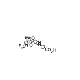 COc1cc2nn([C@H]3CC[C@H](C(=O)O)CC3)cc2cc1NC(=O)c1cccc(C(F)(F)F)n1